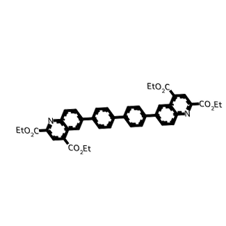 CCOC(=O)c1cc(C(=O)OCC)c2cc(-c3ccc(-c4ccc(-c5ccc6nc(C(=O)OCC)cc(C(=O)OCC)c6c5)cc4)cc3)ccc2n1